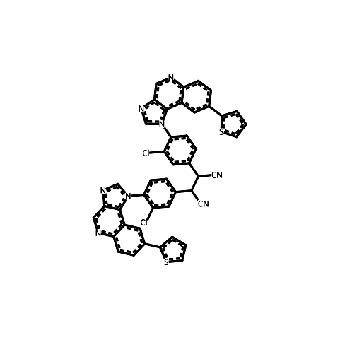 N#CC(c1ccc(-n2cnc3cnc4ccc(-c5cccs5)cc4c32)c(Cl)c1)C(C#N)c1ccc(-n2cnc3cnc4ccc(-c5cccs5)cc4c32)c(Cl)c1